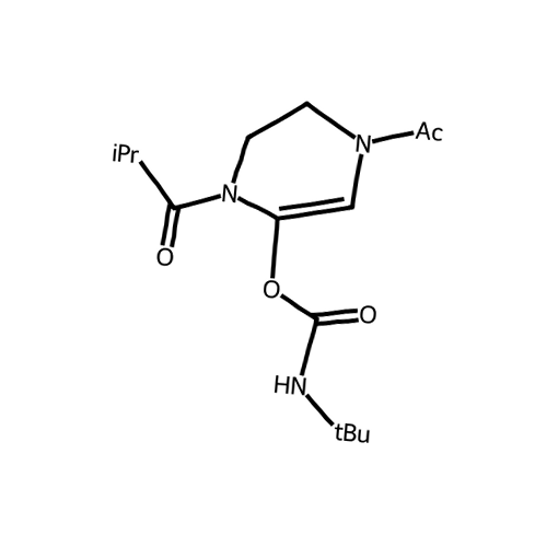 CC(=O)N1C=C(OC(=O)NC(C)(C)C)N(C(=O)C(C)C)CC1